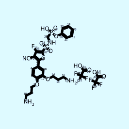 N#Cc1c(-c2ccc(OCCCN)c(OCCCN)c2)sc(S(=O)(=O)NCP(=O)(O)Oc2ccccc2)c1F.O=C(O)C(F)(F)F.O=C(O)C(F)(F)F